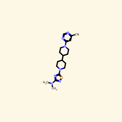 CN(C)c1nsc(N2CCC(C3CCN(c4cc(C#N)ncn4)CC3)CC2)n1